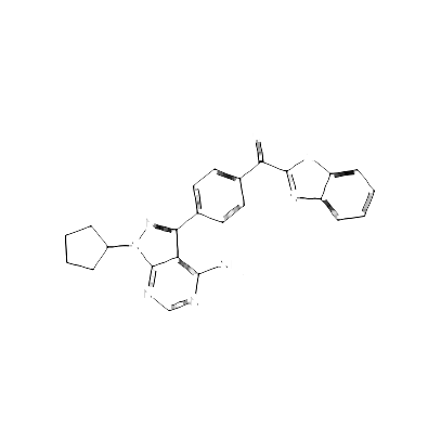 Nc1ncnc2c1c(-c1ccc(C(=O)c3nc4ccccc4s3)cc1)nn2C1CCCC1